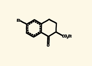 CCOC(=O)C1CCc2cc(CC)ccc2C1=O